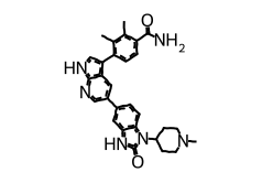 Cc1c(C(N)=O)ccc(-c2c[nH]c3ncc(-c4ccc5c(c4)[nH]c(=O)n5C4CCN(C)CC4)cc23)c1C